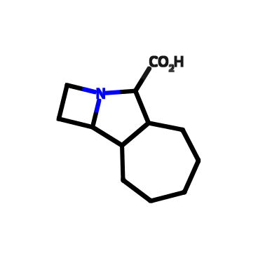 O=C(O)C1C2CCCCCC2C2CCN21